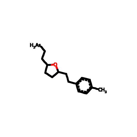 Cc1ccc(CCC2CCC(CC[AsH2])O2)cc1